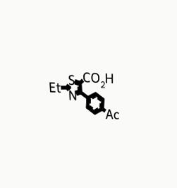 CCc1nc(-c2ccc(C(C)=O)cc2)c(C(=O)O)s1